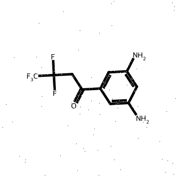 Nc1cc(N)cc(C(=O)CC(F)(F)C(F)(F)F)c1